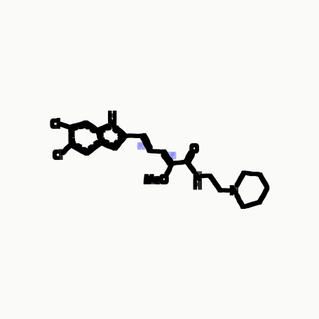 CO/C(=C\C=C\c1cc2cc(Cl)c(Cl)cc2[nH]1)C(=O)NCCN1CCCCC1